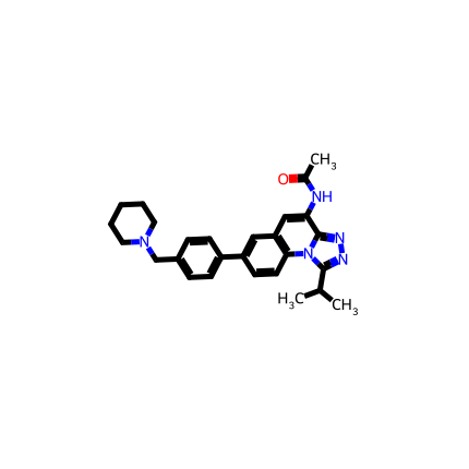 CC(=O)Nc1cc2cc(-c3ccc(CN4CCCCC4)cc3)ccc2n2c(C(C)C)nnc12